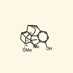 CO[C@@]12CC(=C3C4Cc5ccc(O)c6c5C3(CCN4)C1O6)[C@@H]2C(C)C(C)(C)C